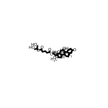 C[C@@H]1C[C@H]2[C@]3(C)CCC4=CC(=O)C=C[C@]4(C)[C@@]3(F)[C@@H](O)C[C@]2(C)[C@@]1(O)C(=O)COC(=O)CCCC(=O)OC(CO)CO